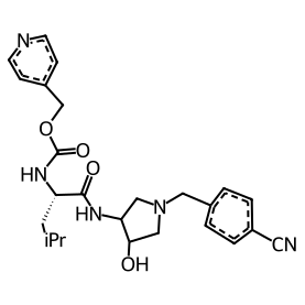 CC(C)C[C@H](NC(=O)OCc1ccncc1)C(=O)NC1CN(Cc2ccc(C#N)cc2)CC1O